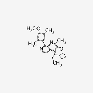 CC[C@H](C1CCC1)n1c(=O)c(C)nc2c(-c3cc(C)c(OC)cc3C)nccc21